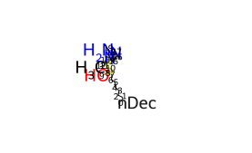 CCCCCCCCCCCCCCCCCC(O)SC(C)Cn1ccnc1N